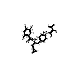 C=C(C)/C(C)=C(/C)Nc1ccc(CC(C=C2CC2)NC(=O)c2cc(C)c(C)cc2C)cc1